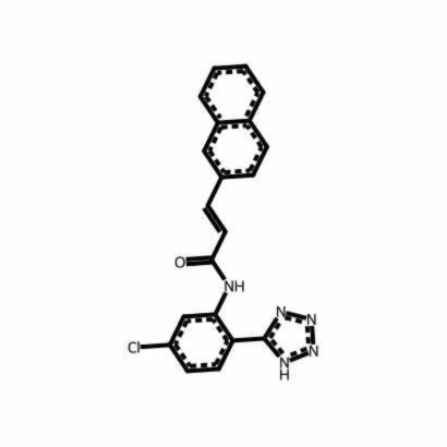 O=C(/C=C/c1ccc2ccccc2c1)Nc1cc(Cl)ccc1-c1nnn[nH]1